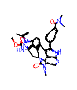 COC(=O)N[C@@H]1CC[C@@H](n2c(=O)n(C)c3cnc4[nH]c(-c5ccc(C(=O)N(C)C)cc5)c(-c5ccc6c(cnn6C(C)C)c5)c4c32)C1